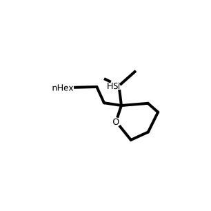 CCCCCCCCC1([SiH](C)C)CCCCO1